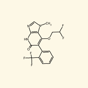 Cn1cnc2[nH]c(=O)c(-c3ccccc3C(F)(F)F)c(OCC(F)F)c21